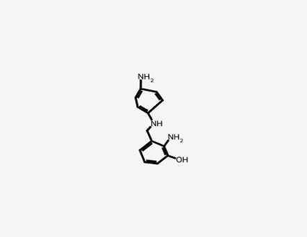 Nc1ccc(NCc2cccc(O)c2N)cc1